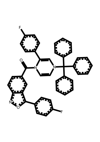 O=C(c1ccc2noc(-c3ccc(F)cc3)c2c1)N1C=CN(C(c2ccccc2)(c2ccccc2)c2ccccc2)C=C1c1ccc(F)cc1